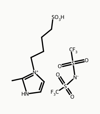 Cc1[nH]cc[n+]1CCCCS(=O)(=O)O.O=S(=O)([N-]S(=O)(=O)C(F)(F)F)C(F)(F)F